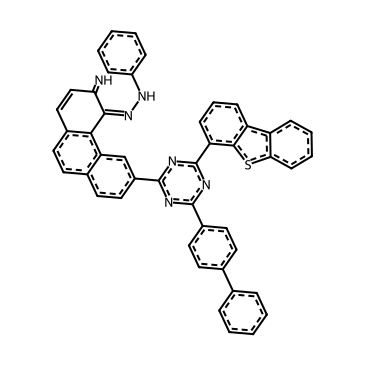 N=C1C=Cc2ccc3ccc(-c4nc(-c5ccc(-c6ccccc6)cc5)nc(-c5cccc6c5sc5ccccc56)n4)cc3c2/C1=N/Nc1ccccc1